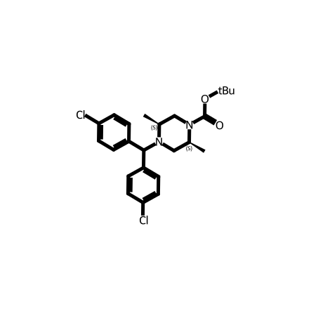 C[C@H]1CN(C(c2ccc(Cl)cc2)c2ccc(Cl)cc2)[C@@H](C)CN1C(=O)OC(C)(C)C